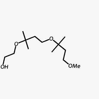 COCCC(C)(C)OCCC(C)(C)OCCO